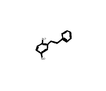 O=Nc1ccc(N=O)c(CCc2ccccc2)c1